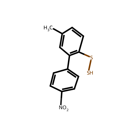 Cc1ccc(SS)c(-c2ccc([N+](=O)[O-])cc2)c1